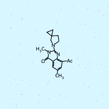 CC(=O)c1cc(C)cc2c(=O)n(C)c(N3CCC4(CC4)C3)nc12